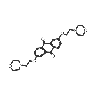 O=C1c2ccc(OCCN3CCOCC3)cc2C(=O)c2ccc(OCCN3CCOCC3)cc21